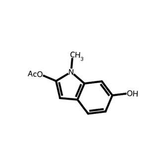 CC(=O)Oc1cc2ccc(O)cc2n1C